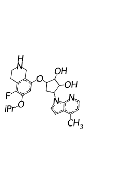 Cc1ccnc2c1ccn2C1CC(Oc2cc(OC(C)C)c(F)c3c2CNCC3)C(O)C1O